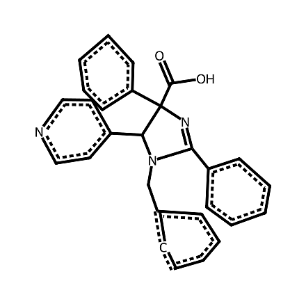 O=C(O)C1(c2ccccc2)N=C(c2ccccc2)N(Cc2ccccc2)C1c1ccncc1